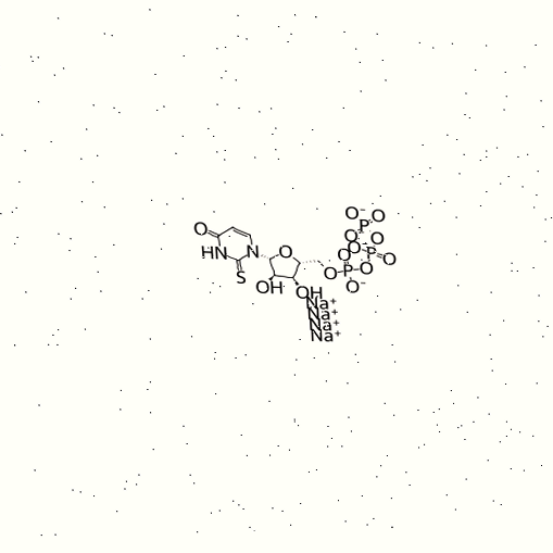 O=c1ccn([C@@H]2O[C@H](COP(=O)([O-])OP(=O)([O-])OP(=O)([O-])[O-])[C@@H](O)[C@H]2O)c(=S)[nH]1.[Na+].[Na+].[Na+].[Na+]